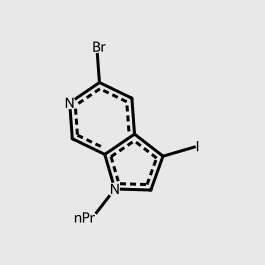 CCCn1cc(I)c2cc(Br)ncc21